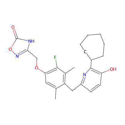 Cc1cc(OCc2noc(=O)[nH]2)c(F)c(C)c1Cc1ccc(O)c(C2CCCCCC2)n1